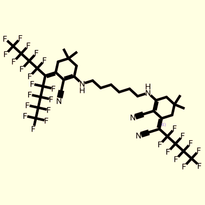 CC1(C)CC(NCCCCCCNC2=C(C#N)/C(=C(\C#N)C(F)(F)C(F)(F)C(F)(F)C(F)(F)F)CC(C)(C)C2)=C(C#N)C(=C(C(F)(F)C(F)(F)C(F)(F)C(F)(F)F)C(F)(F)C(F)(F)C(F)(F)C(F)(F)F)C1